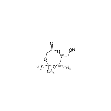 C[C@@H]1OC(C)(C)OCC(=O)O[C@@H]1CO